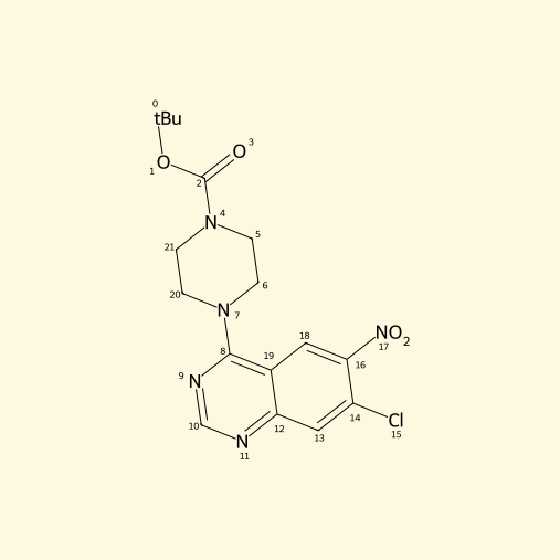 CC(C)(C)OC(=O)N1CCN(c2ncnc3cc(Cl)c([N+](=O)[O-])cc23)CC1